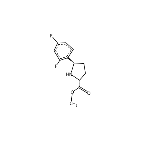 COC(=O)[C@H]1CC[C@H](c2ccc(F)cc2F)N1